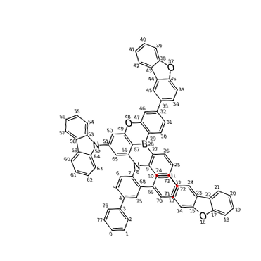 c1ccc(-c2ccc(N3c4cc(-c5ccc6oc7ccccc7c6c5)ccc4B4c5ccc(-c6ccc7oc8ccccc8c7c6)cc5Oc5cc(-n6c7ccccc7c7ccccc76)cc3c54)c(-c3ccccc3)c2)cc1